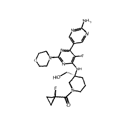 Nc1ncc(-c2nc(N3CCOCC3)nc(N[C@@]3(CO)CCCN(C(=O)C4(F)CC4)C3)c2F)cn1